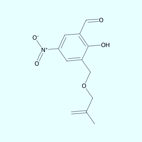 C=C(C)COCc1cc([N+](=O)[O-])cc(C=O)c1O